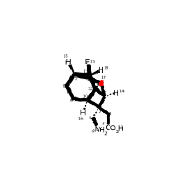 NC[C@@]1(CC(=O)O)[C@@H]2C[C@@H]3CC[C@H]1[C@H]2[C@H]3F